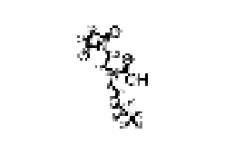 CC(C)(C)[Si](C)(C)OCCN(CCN1C(=O)C=CC1=O)C(=O)O